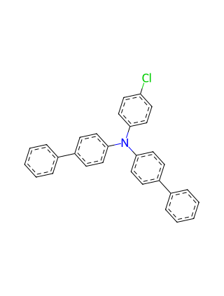 Clc1ccc(N(c2ccc(-c3ccccc3)cc2)c2ccc(-c3ccccc3)cc2)cc1